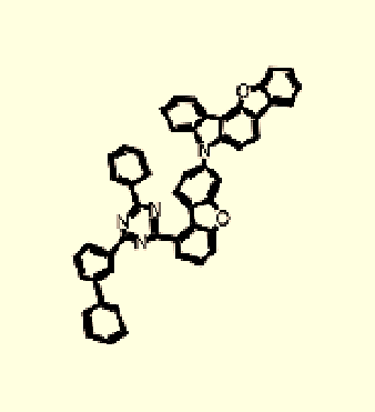 c1ccc(-c2cccc(-c3nc(-c4ccccc4)nc(-c4cccc5oc6cc(-n7c8ccccc8c8c9oc%10ccccc%10c9ccc87)ccc6c45)n3)c2)cc1